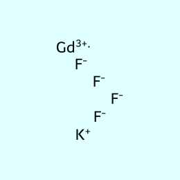 [F-].[F-].[F-].[F-].[Gd+3].[K+]